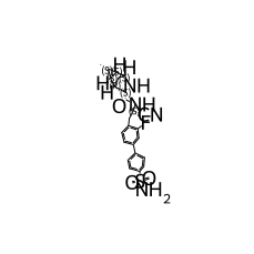 C[C@H]1[C@H]2[C@H]3C[C@H](N[C@@H]3C(=O)N[C@H](C#N)Cc3ccc(-c4ccc(S(N)(=O)=O)cc4)cc3F)[C@@H]12